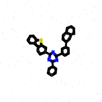 c1ccc(-c2nc(-c3cccc(-c4ccc5ccccc5c4)c3)nc(-c3ccc4c(c3)sc3ccccc34)n2)cc1